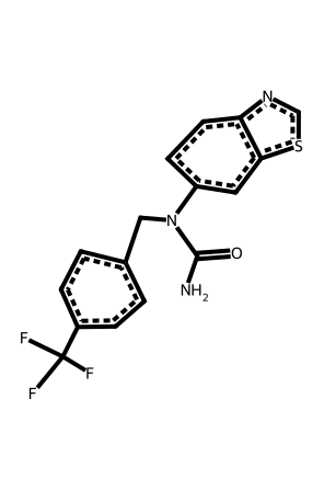 NC(=O)N(Cc1ccc(C(F)(F)F)cc1)c1ccc2ncsc2c1